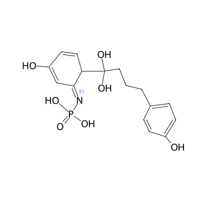 O=P(O)(O)/N=C1\C=C(O)C=CC1C(O)(O)CCCc1ccc(O)cc1